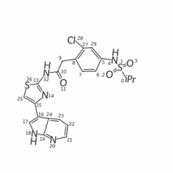 CC(C)S(=O)(=O)Nc1ccc(CC(=O)Nc2nc(-c3c[nH]c4ncccc34)cs2)c(Cl)c1